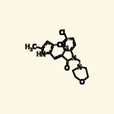 Cc1cc(C)c(C=C2C(=O)N(CN3CCOCC3)c3ccc(Cl)cc32)[nH]1